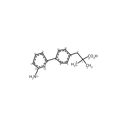 CC(C)(Cc1ccc(-c2cccc(N)n2)cc1)C(=O)O